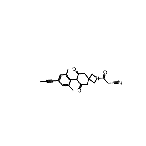 CC#Cc1cc(C)c(C2C(=O)CC3(CC2=O)CN(C(=O)CC#N)C3)c(C)c1